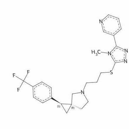 Cn1c(SCCCN2CC[C@@]3(C[C@H]3c3ccc(C(F)(F)F)cc3)C2)nnc1-c1cccnc1